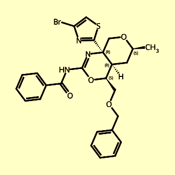 C[C@H]1C[C@H]2[C@@H](COCc3ccccc3)OC(NC(=O)c3ccccc3)=N[C@@]2(c2nc(Br)cs2)CO1